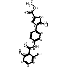 COC(=O)c1cc(-c2ccc(NC(=O)c3c(F)cccc3F)cc2)c(Cl)s1